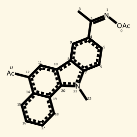 CC(=O)O/N=C(/C)c1ccc2c(c1)c1cc(C(C)=O)c3ccccc3c1n2C